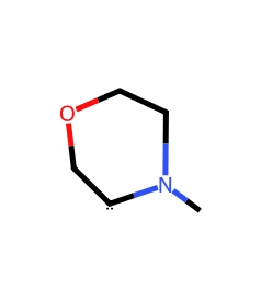 CN1[C]COCC1